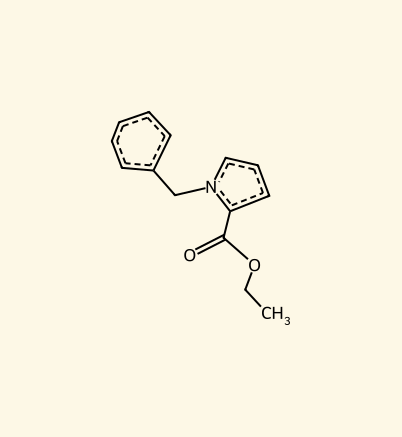 CCOC(=O)c1cccn1Cc1ccccc1